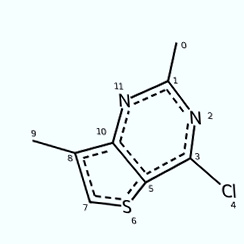 Cc1nc(Cl)c2scc(C)c2n1